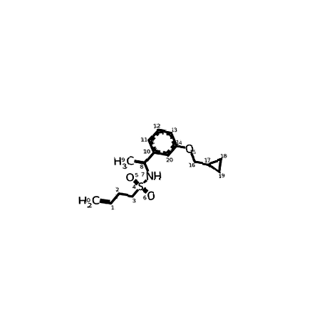 C=CCCS(=O)(=O)NC(C)c1cccc(OCC2CC2)c1